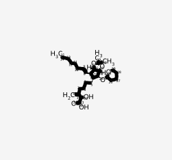 C=C(CCCC[C@@H]1[C@@H](C=CCCCCCC)[C@@H]2OC(C)(C)O[C@@H]2[C@@H]1OC1CCCCO1)C(O)C(=O)O